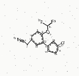 N#CCc1ccc(OC(F)F)c(-c2cccc(Cl)c2)c1